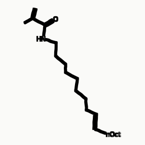 C=C(C)C(=O)NCCCCCCCCC=CCCCCCCCC